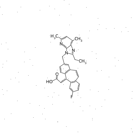 CCc1nc2c(C)cc(C)nc2n1Cc1ccc2c(c1)C=Cc1ccc(F)cc1C2=CC(=O)O